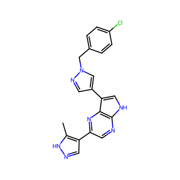 Cc1[nH]ncc1-c1cnc2[nH]cc(-c3cnn(Cc4ccc(Cl)cc4)c3)c2n1